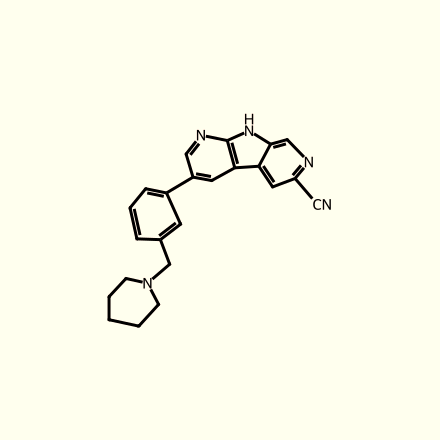 N#Cc1cc2c(cn1)[nH]c1ncc(-c3cccc(CN4CCCCC4)c3)cc12